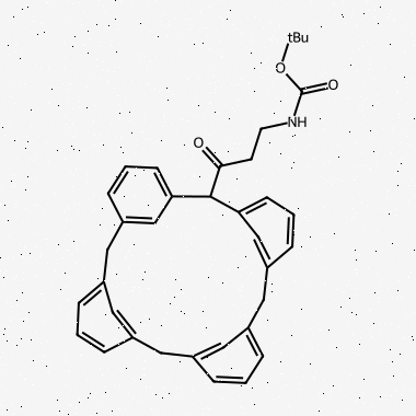 CC(C)(C)OC(=O)NCCC(=O)C1c2cccc(c2)Cc2cccc(c2)Cc2cccc(c2)Cc2cccc1c2